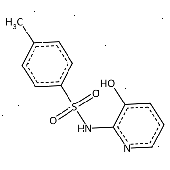 Cc1ccc(S(=O)(=O)Nc2ncccc2O)cc1